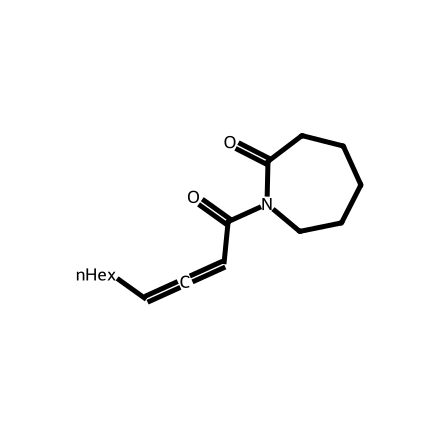 CCCCCCC=C=CC(=O)N1CCCCCC1=O